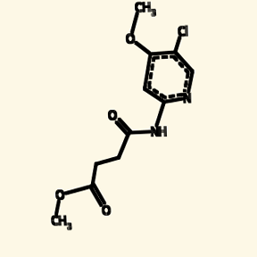 COC(=O)CCC(=O)Nc1cc(OC)c(Cl)cn1